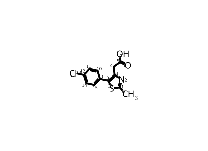 Cc1nc(CC(=O)O)c(-c2ccc(Cl)cc2)s1